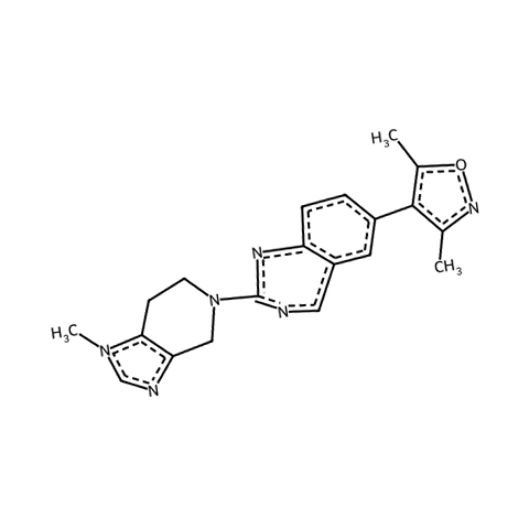 Cc1noc(C)c1-c1ccc2nc(N3CCc4c(ncn4C)C3)ncc2c1